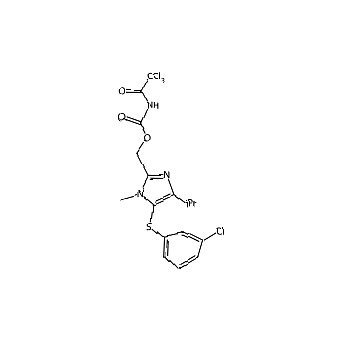 CC(C)c1nc(COC(=O)NC(=O)C(Cl)(Cl)Cl)n(C)c1Sc1cccc(Cl)c1